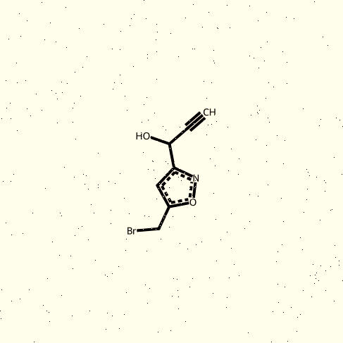 C#CC(O)c1cc(CBr)on1